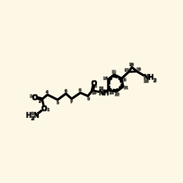 NOC(=O)CCCCCCC(=O)Nc1ccc(C2CC2N)cc1